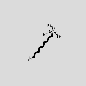 CCO[Si](CCCCCCCCCN)(OCC)OCC